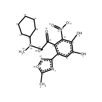 Cc1nc(-c2cc(O)c(O)c([N+](=O)[O-])c2C(=O)C(=O)N(C)C2CCCCC2)no1